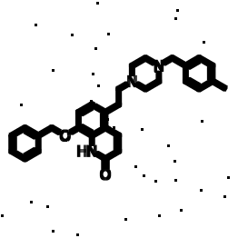 Cc1ccc(CN2CCN(CCc3ccc(OCc4ccccc4)c4[nH]c(=O)ccc34)CC2)cc1